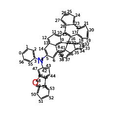 c1ccc(N(c2ccc3c4c(ccc3c2)-c2c(c3ccccc3c3ccccc23)C42c3ccccc3-c3ccccc32)c2ccc3c(c2)oc2ccccc23)cc1